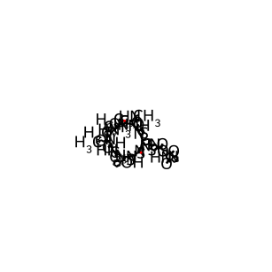 CNC(=O)C[C@@H]1NC(=O)c2csc(n2)-c2ccc(-c3nc(C(=O)OCC4NC(=O)C5CCCN5C4=O)cs3)nc2-c2csc(n2)-c2csc(n2)[C@H]([C@@H](O)c2ccccc2)NC(=O)CNC(=O)c2nc(sc2COC)[C@@H](C(C)C)NC(=O)c2nc1sc2C